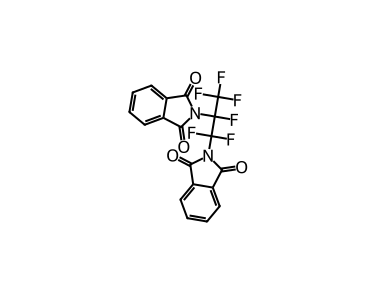 O=C1c2ccccc2C(=O)N1C(F)(F)C(F)(N1C(=O)c2ccccc2C1=O)C(F)(F)F